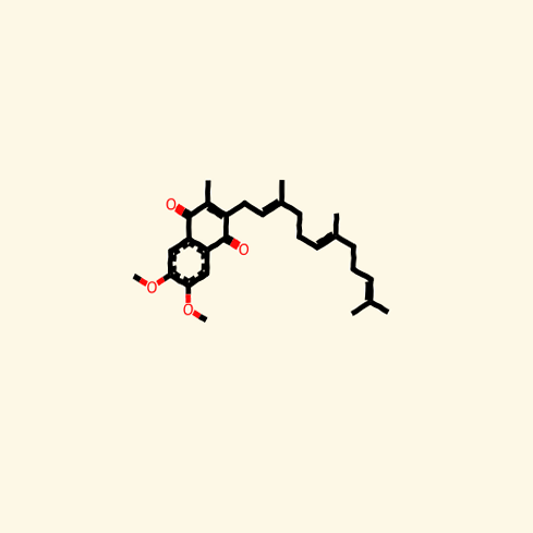 COc1cc2c(cc1OC)C(=O)C(C/C=C(\C)CC/C=C(\C)CCC=C(C)C)=C(C)C2=O